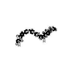 O=C1CCC(N2Cc3cc(C4CCN(CC5CCN(c6cnc(-c7cnc8[nH]cc(C(=O)c9c(F)ccc(NS(=O)(=O)N%10CC[C@@H](F)C%10)c9F)c8c7)nc6)CC5)CC4)ccc3C2=O)C(=O)N1